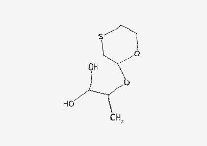 CC(OC1CSCCO1)C(O)O